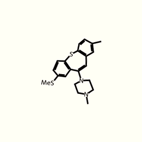 CSc1ccc2c(c1)C(N1CCN(C)CC1)=Cc1cc(C)ccc1S2